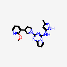 COc1ncccc1C1CCN(c2nc(Nc3cc(C)n[nH]3)n3cccc3n2)C1